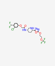 O=C(COc1ccc(C(F)F)c(Cl)c1)N[C@H]1CC[C@H](c2nnc(OCCOC(F)(F)F)o2)NC1